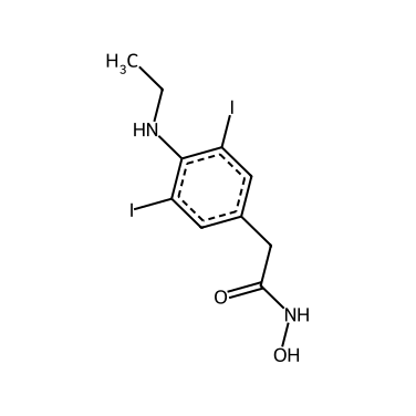 CCNc1c(I)cc(CC(=O)NO)cc1I